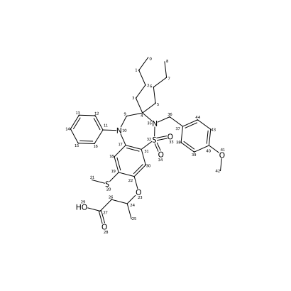 CCCCC1(CCCC)CN(c2ccccc2)c2cc(SC)c(OC(C)CC(=O)O)cc2S(=O)(=O)N1Cc1ccc(OC)cc1